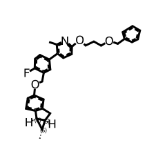 Cc1nc(OCCCOCc2ccccc2)ccc1-c1ccc(F)c(COc2ccc3c(c2)C[C@H]2[C@H](C)[C@@H]32)c1